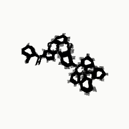 Cc1ccccc1Nc1ccc2c(c1)Oc1cccc3c1B2c1ccc(N2c4ccccc4[Si](c4ccccc4)(c4ccccc4)c4ccccc42)cc1O3